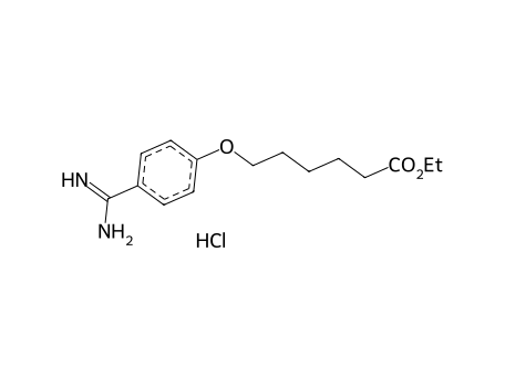 CCOC(=O)CCCCCOc1ccc(C(=N)N)cc1.Cl